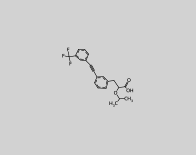 CC(C)OC(Cc1cccc(C#Cc2cccc(C(F)(F)F)c2)c1)C(=O)O